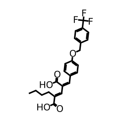 CCCCC(=CC(=Cc1ccc(OCc2ccc(C(F)(F)F)cc2)cc1)C(=O)O)C(=O)O